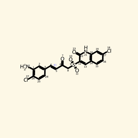 Nc1cc(/C=C/C(=O)CS(=O)(=O)c2cc3ccc(Cl)cc3[nH]c2=O)ccc1Cl